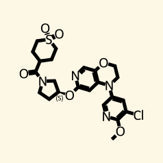 COc1ncc(N2CCOc3cnc(O[C@H]4CCN(C(=O)C5CCS(=O)(=O)CC5)C4)cc32)cc1Cl